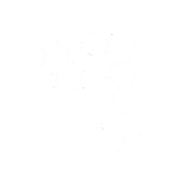 Cc1ccc(OCC(N)c2ccccc2)cc1C(=O)NC1(c2cccc3ccccc23)CC1